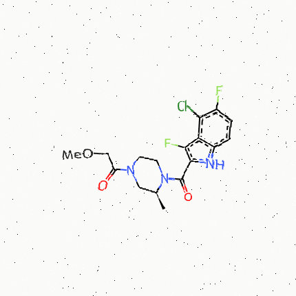 COCC(=O)N1CCN(C(=O)c2[nH]c3ccc(F)c(Cl)c3c2F)[C@@H](C)C1